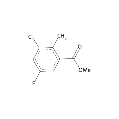 COC(=O)c1cc(F)cc(Cl)c1C